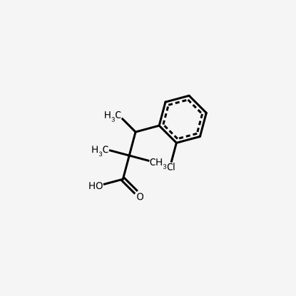 CC(c1ccccc1Cl)C(C)(C)C(=O)O